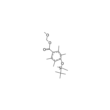 COCOC(=O)c1c(C)c(C)c(O[Si](C)(C)C(C)(C)C)c(C)c1C